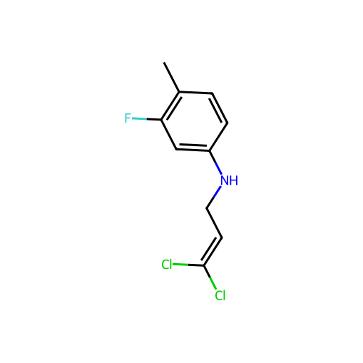 Cc1ccc(NCC=C(Cl)Cl)cc1F